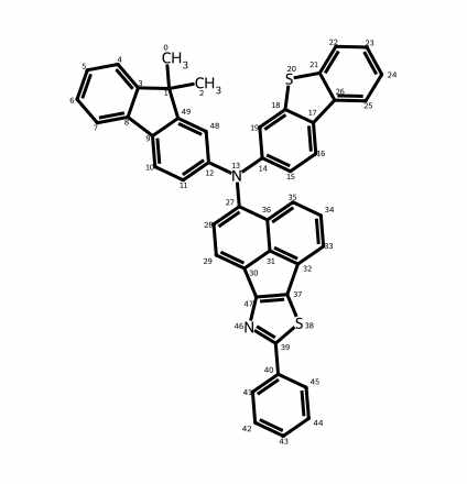 CC1(C)c2ccccc2-c2ccc(N(c3ccc4c(c3)sc3ccccc34)c3ccc4c5c(cccc35)-c3sc(-c5ccccc5)nc3-4)cc21